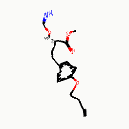 C=CCCOc1ccc(C[C@H](BOC=N)C(=O)OC)cc1